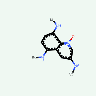 CCNc1cc2c(NCC)ccc(NCC)c2[n+]([O-])c1